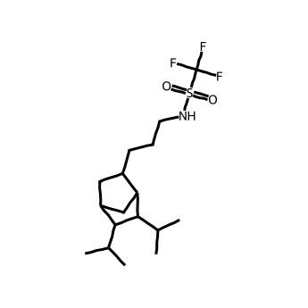 CC(C)C1C2CC(CCCNS(=O)(=O)C(F)(F)F)C(C2)C1C(C)C